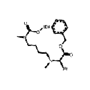 CC(C)C(C(=O)OCc1ccccc1)N(C)CCCCN(C)C(=O)OC(C)(C)C